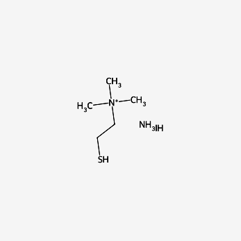 C[N+](C)(C)CCS.I.N